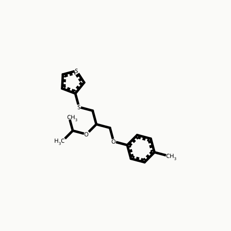 Cc1ccc(OCC(CSc2ccsc2)OC(C)C)cc1